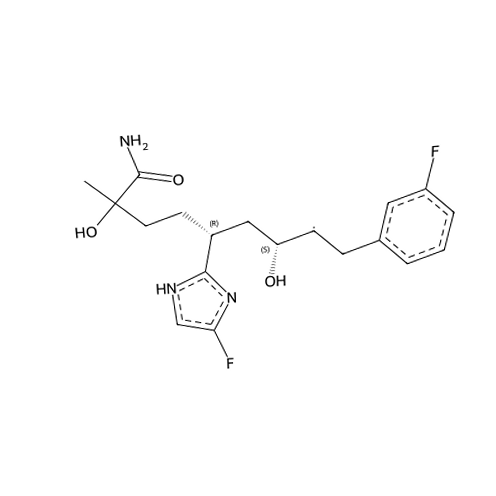 CC(O)(CC[C@H](C[C@@H](O)[CH]Cc1cccc(F)c1)c1nc(F)c[nH]1)C(N)=O